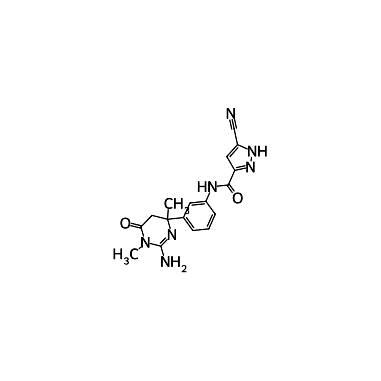 CN1C(=O)CC(C)(c2cccc(NC(=O)c3cc(C#N)[nH]n3)c2)N=C1N